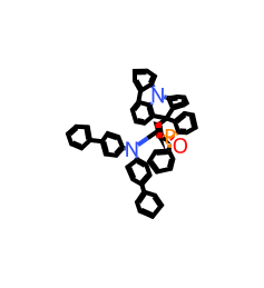 O=P1(c2ccccc2)c2ccccc2C2(c3ccccc3-n3c4ccccc4c4cccc2c43)c2ccc(N(c3ccc(-c4ccccc4)cc3)c3ccc(-c4ccccc4)cc3)cc21